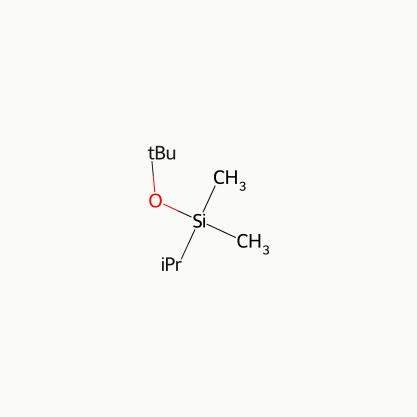 CC(C)[Si](C)(C)OC(C)(C)C